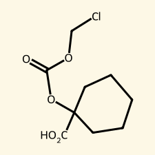 O=C(OCCl)OC1(C(=O)O)CCCCC1